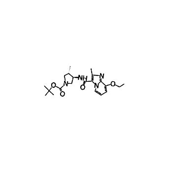 CCOc1cccn2c(C(=O)N[C@H]3CN(C(=O)OC(C)(C)C)C[C@@H]3C)c(C)nc12